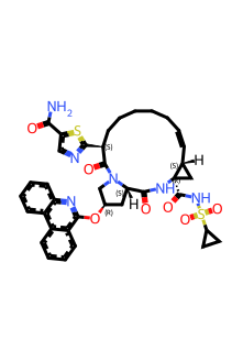 NC(=O)c1cnc([C@H]2CCCCCC=C[C@@H]3C[C@@]3(C(=O)NS(=O)(=O)C3CC3)NC(=O)[C@@H]3C[C@@H](Oc4nc5ccccc5c5ccccc45)CN3C2=O)s1